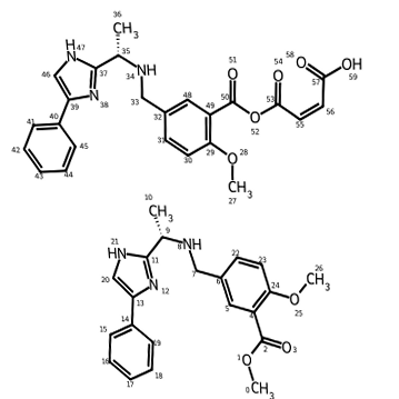 COC(=O)c1cc(CN[C@@H](C)c2nc(-c3ccccc3)c[nH]2)ccc1OC.COc1ccc(CN[C@@H](C)c2nc(-c3ccccc3)c[nH]2)cc1C(=O)OC(=O)/C=C\C(=O)O